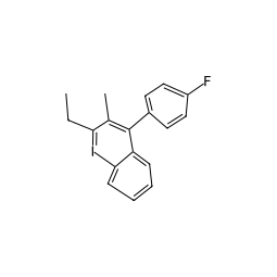 CCC1=Ic2ccccc2C(c2ccc(F)cc2)=C1C